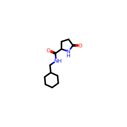 O=C1CCC(C(=O)NCC2CCCCC2)N1